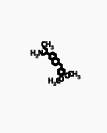 CCCC(CN)c1ccc2c(c1)CCC(Cc1ccc(OC)c(OC)c1)C2